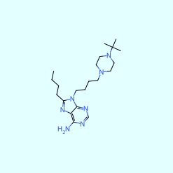 CCCCc1nc2c(N)ncnc2n1CCCCN1CCN(C(C)(C)C)CC1